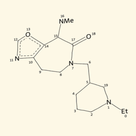 CCN1CCCC(CN2CCc3ncoc3C(NC)C2=O)C1